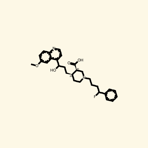 COc1ccc2nccc(C(O)CC[C@@H]3CCN(CCCC(F)c4ccccc4)C[C@@H]3C(=O)O)c2c1